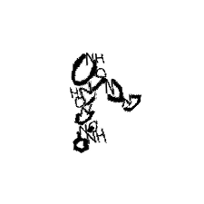 O=C(C[C@H](NC1=C/C/C=C\NC/C=C\1)C(=O)N1CCC(N2CCCCC2)CC1)N1CCC(N2Cc3ccccc3NC2=O)CC1